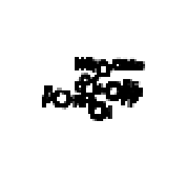 COC1CC(C(=O)N(c2ccc(S(F)(F)(F)(F)F)cc2)C(C(=O)NC2CCC(F)(F)CC2)c2cccnc2)N(C#N)C1